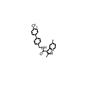 Cc1ccn2nc(C)c(C(=O)NCc3ccc(-c4ccc(C(F)(F)F)cc4)cc3)c2c1